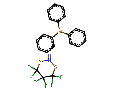 FC1(F)SNSC(F)(F)C1(F)F.c1ccc([S+](c2ccccc2)c2ccccc2)cc1